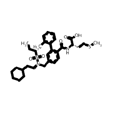 CCCS(=O)(=O)N(CCC1CCCCC1)Cc1ccc(C(=O)N[C@@H](CCSC)C(=O)O)c(-c2ccccc2C)c1